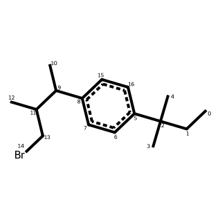 CCC(C)(C)c1ccc(C(C)C(C)CBr)cc1